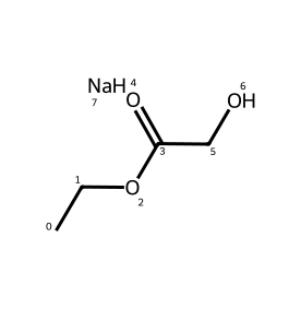 CCOC(=O)CO.[NaH]